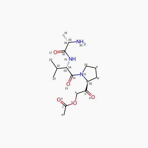 CC(=O)OCC(=O)[C@@H]1CCCN1C(=O)[C@@H](NC(=O)[C@H](C)N)C(C)C